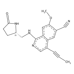 CC#Cc1cnc(NC[C@@H]2CCC(=O)N2)c2cc(OC)c(C#N)cc12